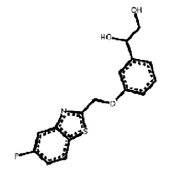 OCC(O)c1cccc(OCc2nc3cc(F)ccc3s2)c1